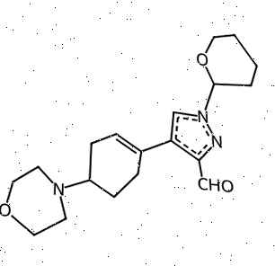 O=Cc1nn(C2CCCCO2)cc1C1=CCC(N2CCOCC2)CC1